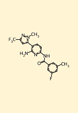 Cc1cc(F)cc(C(=O)Nc2ccc(-c3cc(C(F)(F)F)nn3C)c(N)n2)c1